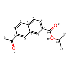 CC(=O)c1ccc2ccc(C(=O)OC(C)C)cc2c1